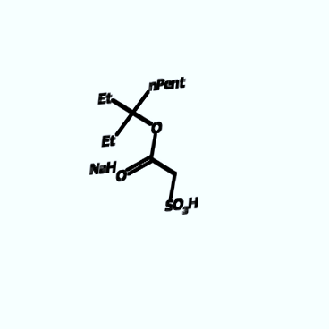 CCCCCC(CC)(CC)OC(=O)CS(=O)(=O)O.[NaH]